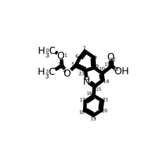 COC(C)Oc1cccc2c(C(=O)O)cc(-c3ccccc3)nc12